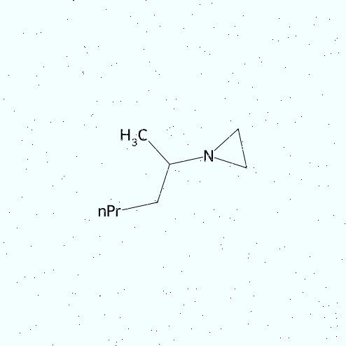 CCCCC(C)N1CC1